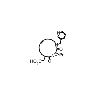 CC(C)C1NC(=O)C(CC(=O)O)CCCC=CCCCN(Cc2cccnc2)C1=O